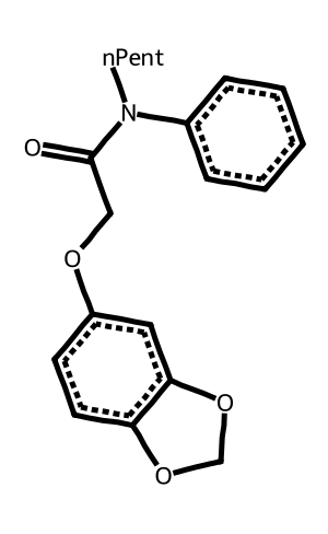 CCCCCN(C(=O)COc1ccc2c(c1)OCO2)c1ccccc1